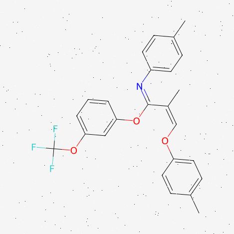 CC(=COc1ccc(C)cc1)C(=Nc1ccc(C)cc1)Oc1cccc(OC(F)(F)F)c1